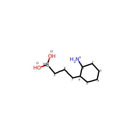 NC1CCCCC1CCCB(O)O